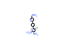 NCc1ccc(-c2ccc(-c3nc(N)c(N)cc3Cl)cc2)nc1